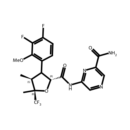 COc1c(C2[C@H](C(=O)Nc3cncc(C(N)=O)n3)O[C@@](C)(C(F)(F)F)[C@H]2C)ccc(F)c1F